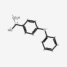 O=C(O)[C@@H](O)c1ccc(Oc2ccccc2)cc1